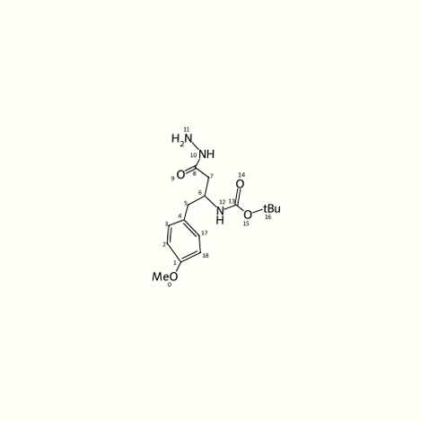 COc1ccc(CC(CC(=O)NN)NC(=O)OC(C)(C)C)cc1